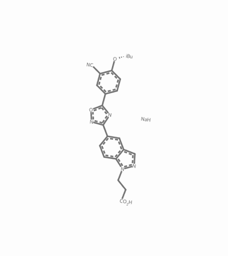 CC[C@@H](C)Oc1ccc(-c2nc(-c3ccc4c(cnn4CCC(=O)O)c3)no2)cc1C#N.[NaH]